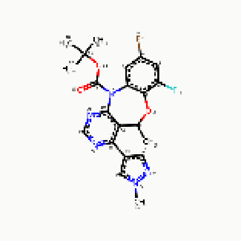 CC1Oc2c(F)cc(Br)cc2N(C(=O)OC(C)(C)C)c2ncnc(-c3cnn(C)c3)c21